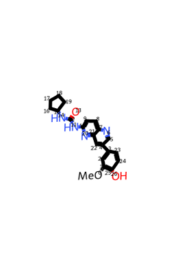 COc1cc(-c2cnc3ccc(NC(=O)NC4CCCC4)nc3c2)ccc1O